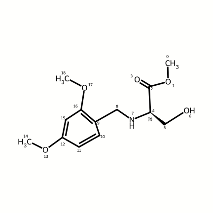 COC(=O)[C@@H](CO)NCc1ccc(OC)cc1OC